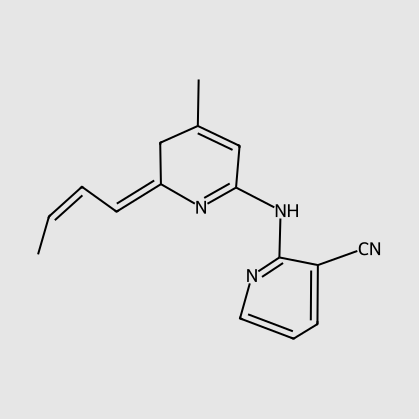 C/C=C\C=C1/CC(C)=CC(Nc2ncccc2C#N)=N1